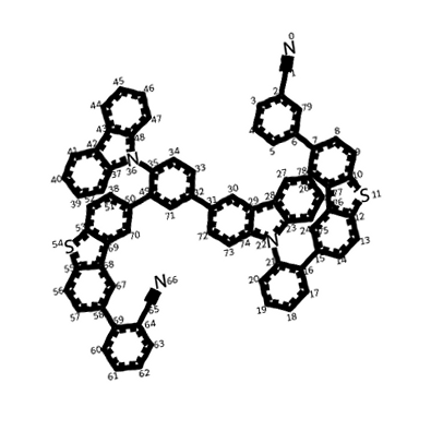 N#Cc1cccc(-c2ccc3sc4ccc(-c5ccccc5-n5c6ccccc6c6cc(-c7ccc(-n8c9ccccc9c9ccccc98)c(-c8ccc9sc%10ccc(-c%11ccccc%11C#N)cc%10c9c8)c7)ccc65)cc4c3c2)c1